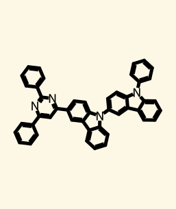 c1ccc(-c2cc(-c3ccc4c(c3)c3ccccc3n4-c3ccc4c(c3)c3ccccc3n4-c3ccccc3)nc(-c3ccccc3)n2)cc1